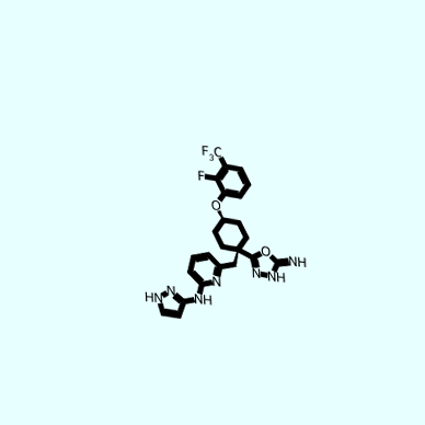 N=c1[nH]nc([C@]2(Cc3cccc(Nc4cc[nH]n4)n3)CC[C@@H](Oc3cccc(C(F)(F)F)c3F)CC2)o1